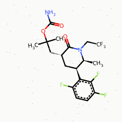 C[C@H]1[C@@H](c2c(F)ccc(F)c2F)C[C@H](CC(C)(C)OC(N)=O)C(=O)N1CC(F)(F)F